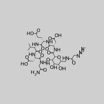 CC(C)[C@H](NC(=O)[C@H](CCC(=O)O)NC(=O)[C@H](CC(=O)O)NC(=O)C1OC(CNC(=O)CN=[N+]=[N-])C(O)C(O)C1O)C(=O)N[C@@H](CC(=O)O)C(=O)NCC(N)=O